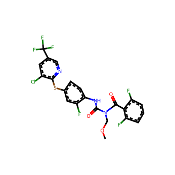 COCN(C(=O)Nc1ccc(Sc2ncc(C(F)(F)F)cc2Cl)cc1F)C(=O)c1c(F)cccc1F